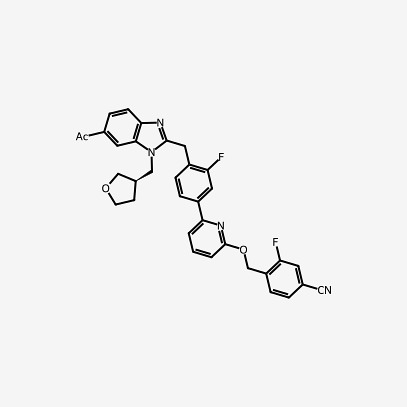 CC(=O)c1ccc2nc(Cc3ccc(-c4cccc(OCc5ccc(C#N)cc5F)n4)cc3F)n(C[C@H]3CCOC3)c2c1